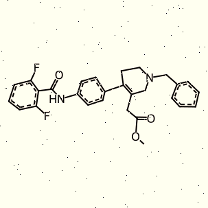 COC(=O)CC1=C(c2ccc(NC(=O)c3c(F)cccc3F)cc2)CCN(Cc2ccccc2)C1